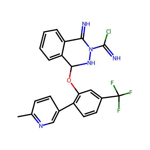 Cc1ccc(-c2ccc(C(F)(F)F)cc2OC2NN(C(=N)Cl)C(=N)c3ccccc32)cn1